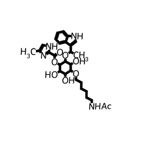 CC(=O)NCCCCCCOC1C(O)C(O)C(OC(=O)c2nc(C)c[nH]2)C(OC(C)c2c[nH]c3ccccc23)C1O